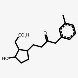 Cc1cccc(CC(=O)CCC2CCC(O)C2CC(=O)O)c1